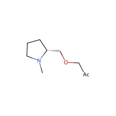 CC(=O)COC[C@H]1CCCN1C